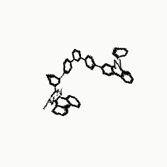 c1ccc(-n2c3ccccc3c3ccc(-c4ccc(-c5cccc(-c6ccc(-c7cccc(-c8cnc9c%10ccccc%10c%10ccccc%10c9n8)c7)cc6)c5)cc4)cc32)cc1